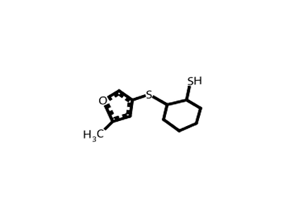 Cc1cc(SC2CCCCC2S)co1